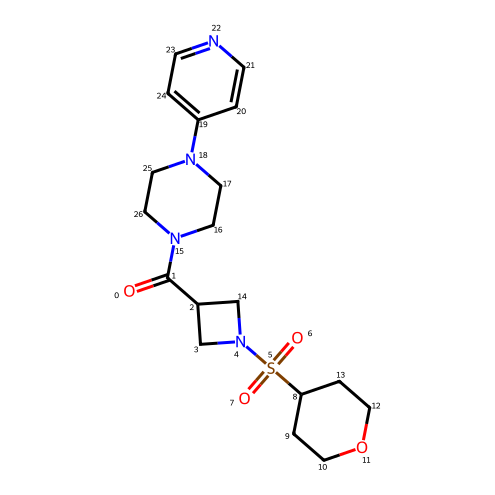 O=C(C1CN(S(=O)(=O)C2CCOCC2)C1)N1CCN(c2ccncc2)CC1